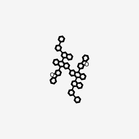 c1ccc(-c2cccc(-c3cc(-c4c5ccccc5c(-c5ccc6c(c5)oc5ccccc56)c5cc(-c6ccc7c(-c8ccc(-c9cccc(-c%10ccccc%10)c9)c9ccccc89)c8ccccc8c(-c8ccc9c(c8)oc8ccccc89)c7c6)ccc45)c4ccccc4c3)c2)cc1